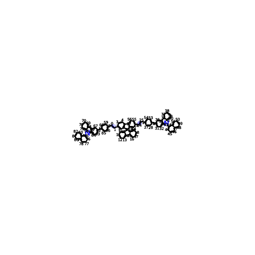 C(=C\c1ccc2c(c1)C1(c3ccccc3-c3ccccc31)c1cc(/C=C/c3ccc(-c4ccc5c(c4)c4ccccc4n5-c4cccc5ccccc45)cc3)ccc1-2)/c1ccc(-c2ccc3c(c2)c2ccccc2n3-c2cccc3ccccc23)cc1